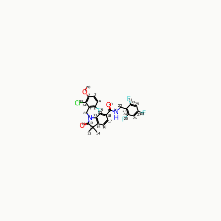 COc1ccc(F)c(CN2C(=O)C(C)(C)c3ccc(C(=O)NCc4c(F)cc(F)cc4F)cc32)c1Cl